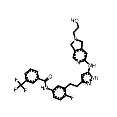 O=C(Nc1ccc(F)c(CCc2cc(Nc3cc4c(cn3)CN(CCO)C4)[nH]n2)c1)c1cccc(C(F)(F)F)c1